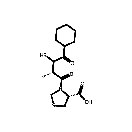 C[C@@H](C(=O)N1CSC[C@H]1C(=O)O)C(S)C(=O)C1CCCCC1